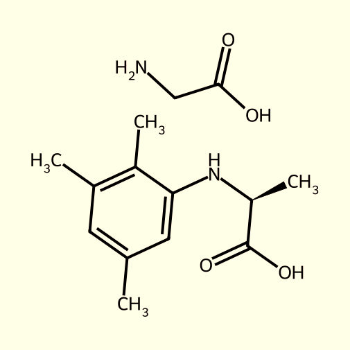 Cc1cc(C)c(C)c(N[C@@H](C)C(=O)O)c1.NCC(=O)O